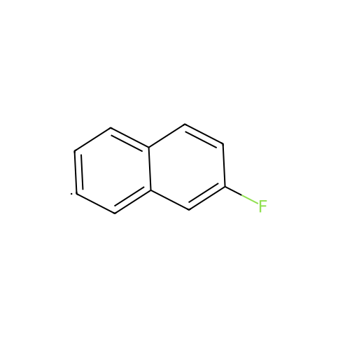 Fc1ccc2cc[c]cc2c1